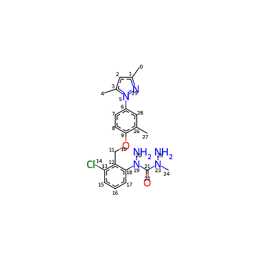 Cc1cc(C)n(-c2ccc(OCc3c(Cl)cccc3N(N)C(=O)N(C)N)c(C)c2)n1